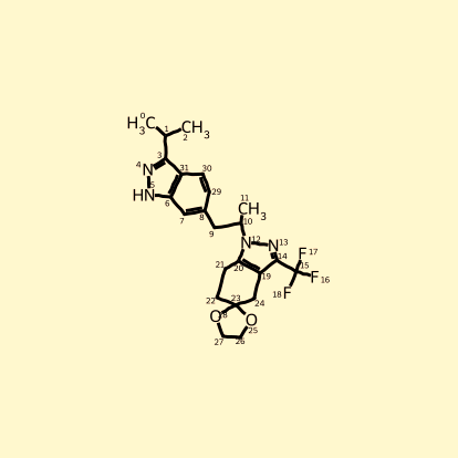 CC(C)c1n[nH]c2cc(CC(C)n3nc(C(F)(F)F)c4c3CCC3(C4)OCCO3)ccc12